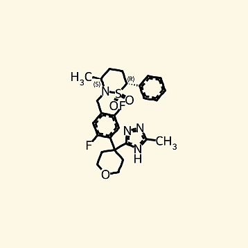 Cc1nnc(C2(c3cc(F)c(CN4[C@@H](C)CC[C@H](c5ccccc5)S4(=O)=O)cc3F)CCOCC2)[nH]1